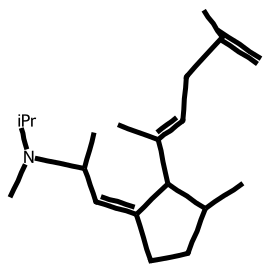 C=C(C)C/C=C(\C)C1/C(=C\C(C)N(C)C(C)C)CCC1C